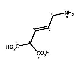 NCC=CC(C(=O)O)C(=O)O